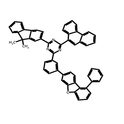 CC1(C)c2ccccc2-c2ccc(-c3nc(-c4cccc(-c5ccc6c(c5)oc5cccc(-c7ccccc7)c56)c4)nc(-c4cc5ccccc5c5ccccc45)n3)cc21